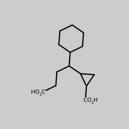 O=C(O)CCC(C1CCCCC1)C1CC1C(=O)O